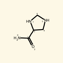 NC(=O)C1CNCN1